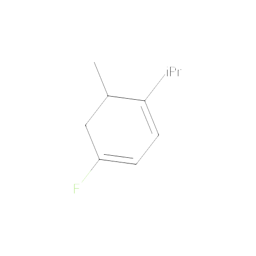 CC(C)C1=CC=C(F)CC1C